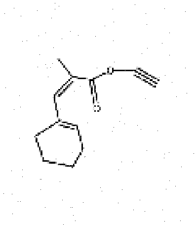 C#COC(=O)C(C)=CC1=CCCCC1